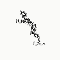 CCCN(C)CCOc1ccc(Nc2ncnc(N3CCN(c4ncc(Cc5ccccc5)c(N)n4)CC3)n2)cc1